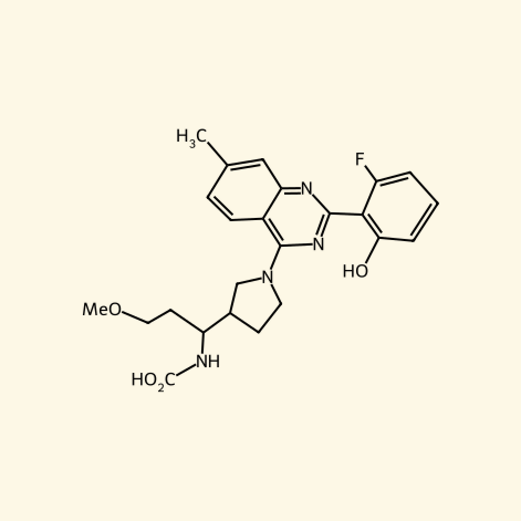 COCCC(NC(=O)O)C1CCN(c2nc(-c3c(O)cccc3F)nc3cc(C)ccc23)C1